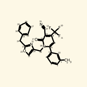 Cc1cccc(-c2cc(C(F)(F)F)c(C#N)c(=O)n2Cc2coc(Cc3ccccc3)n2)c1